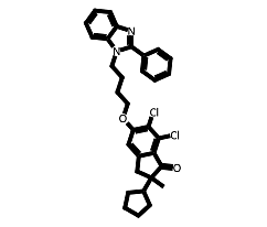 CC1(C2CCCC2)Cc2cc(OCCCCn3c(-c4ccccc4)nc4ccccc43)c(Cl)c(Cl)c2C1=O